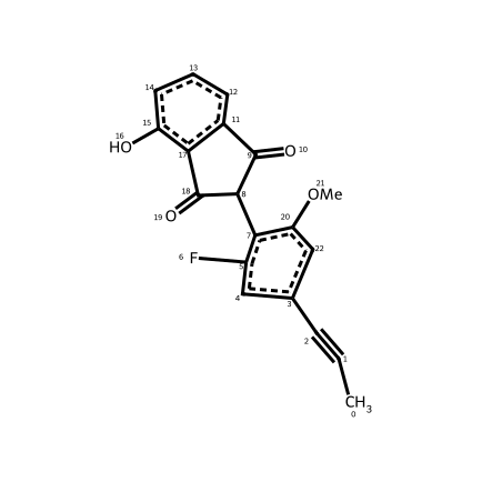 CC#Cc1cc(F)c(C2C(=O)c3cccc(O)c3C2=O)c(OC)c1